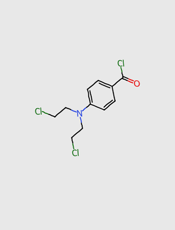 O=C(Cl)c1ccc(N(CCCl)CCCl)cc1